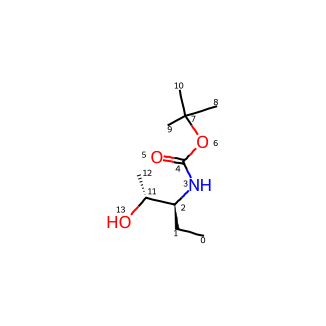 CC[C@H](NC(=O)OC(C)(C)C)[C@@H](C)O